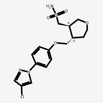 NS(=O)(=O)C[C@H]1COCC[C@@H]1COc1ccc(-n2cc(Cl)cn2)cc1